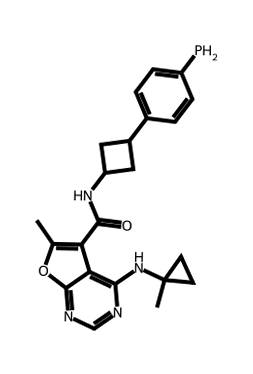 Cc1oc2ncnc(NC3(C)CC3)c2c1C(=O)NC1CC(c2ccc(P)cc2)C1